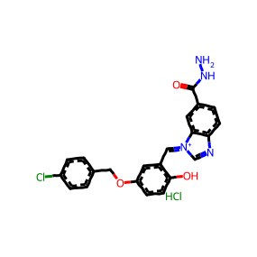 Cl.NNC(=O)c1ccc2c(c1)[N+](=Cc1cc(OCc3ccc(Cl)cc3)ccc1O)C=N2